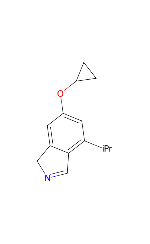 CC(C)c1cc(OC2CC2)cc2c1C=NC2